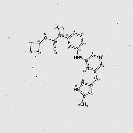 Cc1cc(Nc2cncc(Nc3cccc(N(C)C(=O)OC4CCC4)c3)n2)n[nH]1